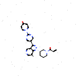 C=CC(=O)N1CCC[C@@H](n2nc(-c3cnc(-n4ccc(=O)cc4)nc3)c3cncc(C#N)c32)C1